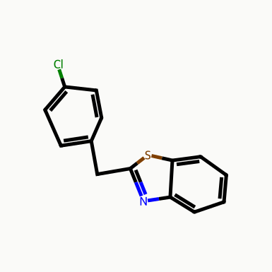 Clc1ccc(Cc2nc3ccccc3s2)cc1